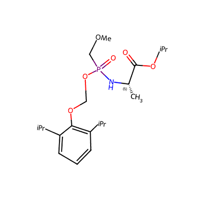 COCP(=O)(N[C@@H](C)C(=O)OC(C)C)OCOc1c(C(C)C)cccc1C(C)C